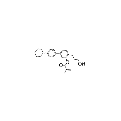 C=C(C)C(=O)Oc1cc(-c2ccc(C3CCCCC3)cc2)ccc1CCCO